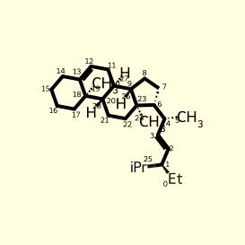 CC[C@H](C=C[C@@H](C)[C@H]1CC[C@H]2[C@@H]3CC=C4CCCC[C@]4(C)[C@H]3CC[C@]12C)C(C)C